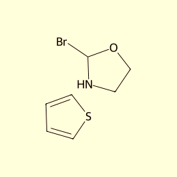 BrC1NCCO1.c1ccsc1